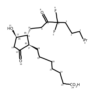 CC(C)CCCC(F)(F)C(=O)CC[C@H]1[C@H](O)CC(=O)[C@@H]1CCCCCCC(=O)O